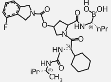 CCC[C@H](NC(=O)C1CC(OC(=O)N2Cc3cccc(F)c3C2)CN1C(=O)[C@@H](NC(=O)N[C@H](C)C(C)C)C1CCCCC1)B(O)O